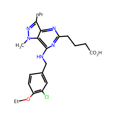 CCCc1nn(C)c2c(NCc3ccc(OCC)c(Cl)c3)nc(CCCC(=O)O)nc12